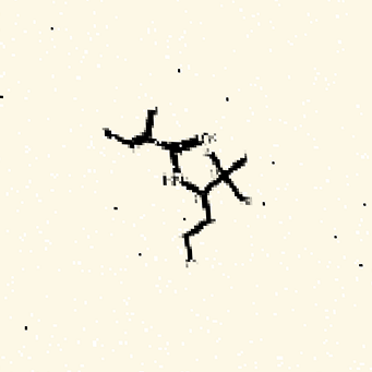 [CH2]CCC(NC(=O)C(C)=CC)C(C)(C)C